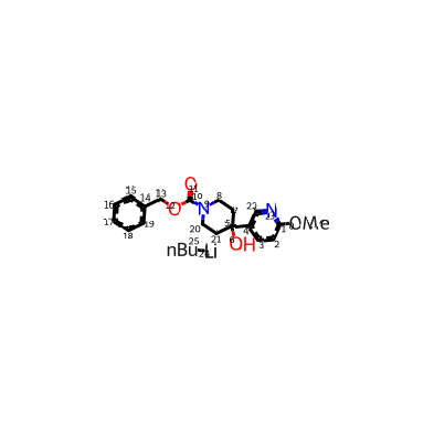 COc1ccc(C2(O)CCN(C(=O)OCc3ccccc3)CC2)cn1.[Li][CH2]CCC